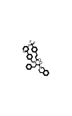 O=C(C(Cc1ccccc1)N(Cc1ccc(-c2ccccn2)cc1)C(=O)C=Cc1ccc(C(F)(F)F)cc1)N1CCc2ccccc2C1